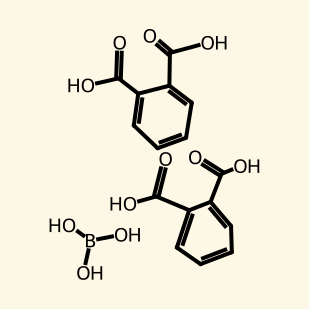 O=C(O)c1ccccc1C(=O)O.O=C(O)c1ccccc1C(=O)O.OB(O)O